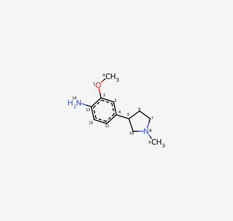 COc1cc(C2CCN(C)C2)ccc1N